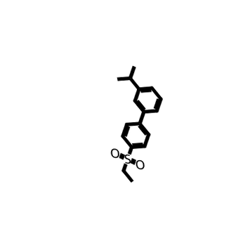 CCS(=O)(=O)c1ccc(-c2cccc(C(C)C)c2)cc1